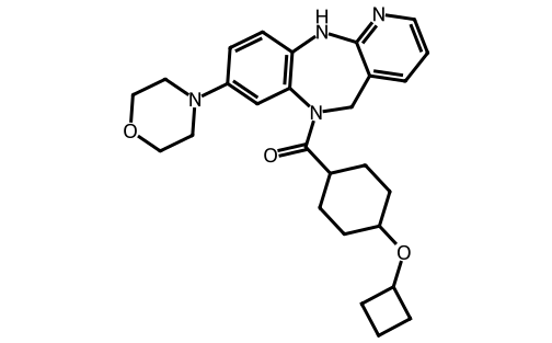 O=C(C1CCC(OC2CCC2)CC1)N1Cc2cccnc2Nc2ccc(N3CCOCC3)cc21